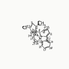 Cc1cc(Cl)ccc1-c1cccc2c1C1(c3ccccc3-2)C2CC3CC(C2)CC1C3